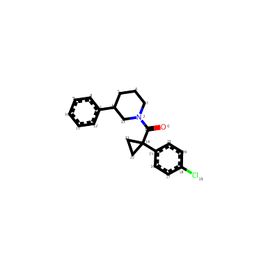 O=C(N1CCCC(c2ccccc2)C1)C1(c2ccc(Cl)cc2)CC1